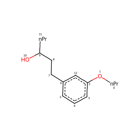 CCCOc1cccc(CCC(O)CCC)c1